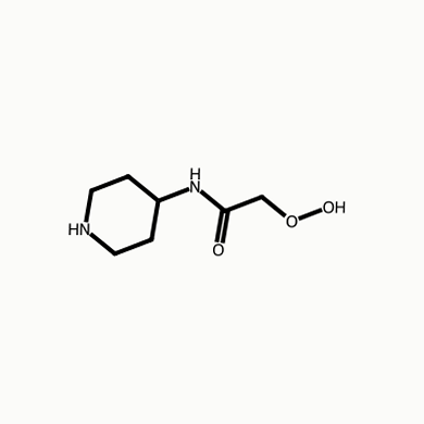 O=C(COO)NC1CCNCC1